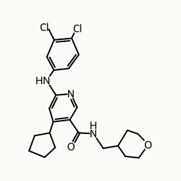 O=C(NCC1CCOCC1)c1cnc(Nc2ccc(Cl)c(Cl)c2)cc1C1CCCC1